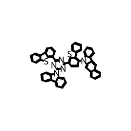 c1ccc2cc3c(cc2c1)c1ccccc1n3-c1ccc(-c2nc(-c3cccc4c3sc3ccccc34)nc(-n3c4ccccc4c4ccccc43)n2)c2sc3ccccc3c12